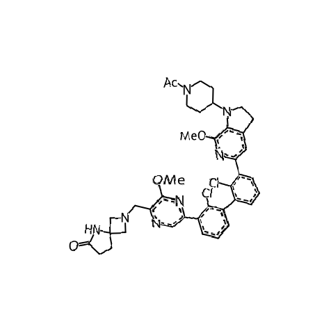 COc1nc(-c2cccc(-c3cccc(-c4cc5c(c(OC)n4)N(C4CCN(C(C)=O)CC4)CC5)c3Cl)c2Cl)cnc1CN1CC2(CCC(=O)N2)C1